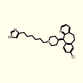 Clc1ccc2c(c1)CCc1cccnc1C2=C1CCN(CCCCCCc2c[nH]cn2)CC1